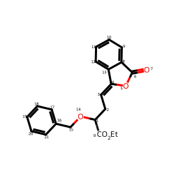 CCOC(=O)C(CC=C1OC(=O)c2ccccc21)OCc1ccccc1